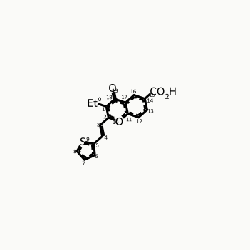 CCc1c(/C=C/c2cccs2)oc2ccc(C(=O)O)cc2c1=O